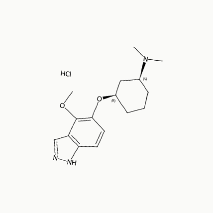 COc1c(O[C@@H]2CCC[C@H](N(C)C)C2)ccc2[nH]ncc12.Cl